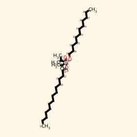 CCCCCCCCCCCCCC[O][Ti](=[O])([O]CCCCCCCCCCCC)([CH](C)C)[CH](C)C